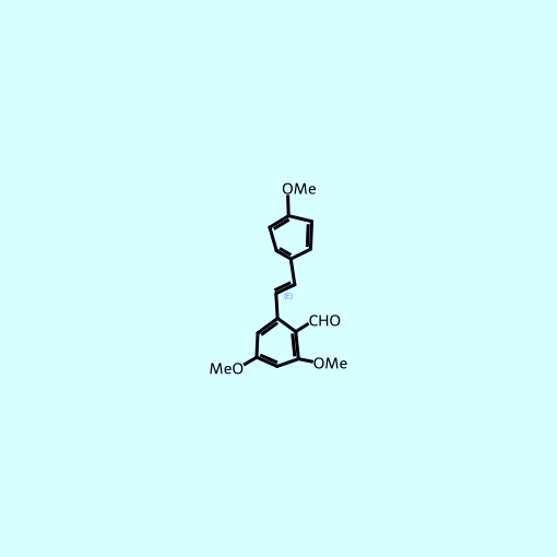 COc1ccc(/C=C/c2cc(OC)cc(OC)c2C=O)cc1